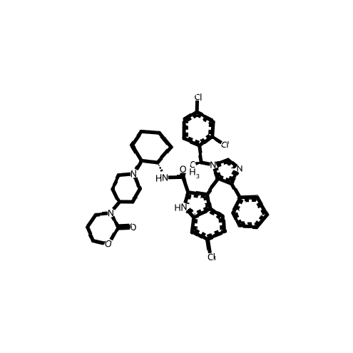 C[C@@H](c1ccc(Cl)cc1Cl)n1cnc(-c2ccccc2)c1-c1c(C(=O)N[C@H]2CCCCC2N2CCC(N3CCCOC3=O)CC2)[nH]c2cc(Cl)ccc12